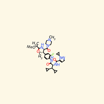 CO[C@@H](C)C(=O)N[C@@H](C(=O)N1CCN(C)CC1)[C@@H](C)c1ccc(NC(=O)[C@@H](NC(=O)c2ccnn2C2CC2)C(C2CC2)C2CC2)c(F)c1